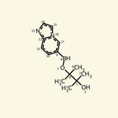 CC(C)(O)C(C)(C)OBc1ccc2nccn2c1